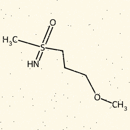 COCCCS(C)(=N)=O